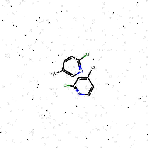 FC(F)(F)c1ccc(Cl)nc1.FC(F)(F)c1ccnc(Cl)c1